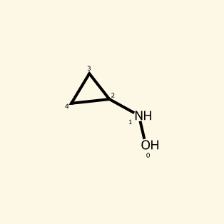 ONC1CC1